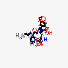 CCCCN(C(=O)CN1C[C@H](c2ccc3c(c2)OCO3)[C@@H](C(=O)O)[C@@H]1CCNS(C)(=O)=O)c1cccnc1